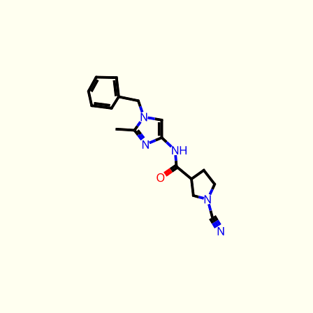 Cc1nc(NC(=O)C2CCN(C#N)C2)cn1Cc1ccccc1